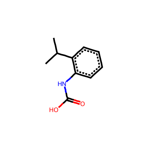 CC(C)c1ccccc1NC(=O)O